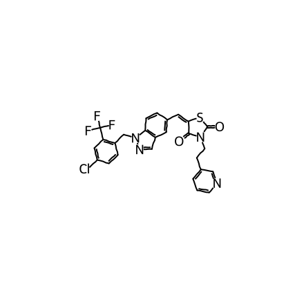 O=C1SC(=Cc2ccc3c(cnn3Cc3ccc(Cl)cc3C(F)(F)F)c2)C(=O)N1CCc1cccnc1